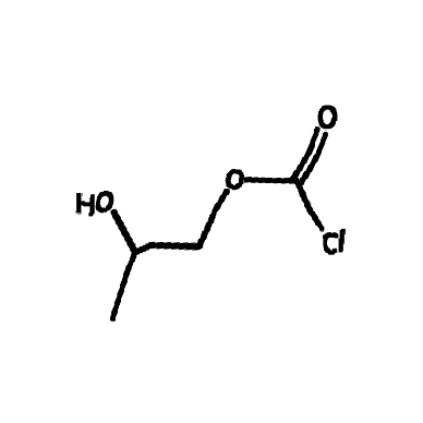 CC(O)COC(=O)Cl